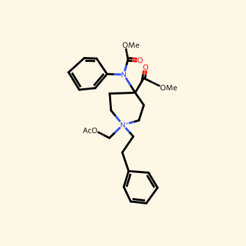 COC(=O)N(c1ccccc1)C1(C(=O)OC)CC[N+](CCc2ccccc2)(COC(C)=O)CC1